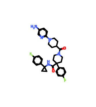 Nc1ccc(N2CCC(C(=O)N3CCC(C(=O)NC4(c5ccc(F)cc5)CC4)(c4ccc(F)cc4)CC3)CC2)nc1